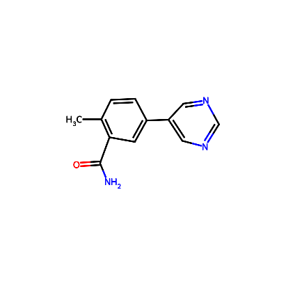 Cc1ccc(-c2cncnc2)cc1C(N)=O